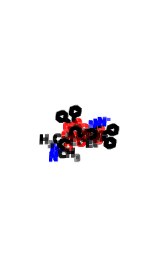 CCC1O[C@@H](C)[C@@H](N=[N+]=[N-])C(C)[C@@H]1O[C@@H]1OC(C(=O)OC)[C@@H](O[C@H]2OC(CC)[C@H](OCc3ccccc3)[C@@H](OCc3ccccc3)C2N=[N+]=[N-])[C@@H](OCc2ccccc2)C1OCc1ccccc1